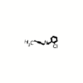 CCC#CCN=Cc1ccccc1Cl